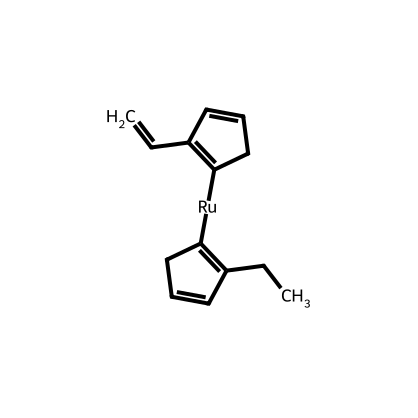 C=CC1=[C]([Ru][C]2=C(CC)C=CC2)CC=C1